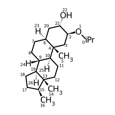 CC(C)O[C@H]1C[C@@]2(C)[C@@H](CC[C@@H]3[C@@H]2CC[C@]2(C)[C@@H](C)CC[C@@H]32)C[C@@H]1O